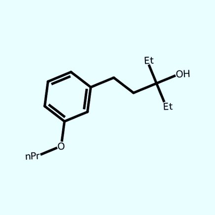 CCCOc1cccc(CCC(O)(CC)CC)c1